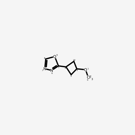 FC(F)(F)OC1CC(c2nnco2)C1